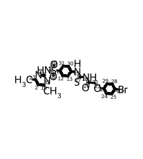 Cc1cc(C)nc(NS(=O)(=O)c2ccc(NC(=S)NC(=O)COc3ccc(Br)cc3)cc2)n1